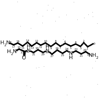 CCCCCCCCCCCCCCCCCCN.NCCCNCCCCNCCCNC(=O)CN